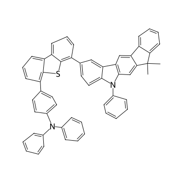 CC1(C)c2ccccc2-c2cc3c4cc(-c5cccc6c5sc5c(-c7ccc(N(c8ccccc8)c8ccccc8)cc7)cccc56)ccc4n(-c4ccccc4)c3cc21